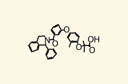 Cc1cc(Oc2cccc(C(=O)N3CCc4ccccc4C3c3ccccc3)c2)ccc1OC(C)(C)C(=O)O